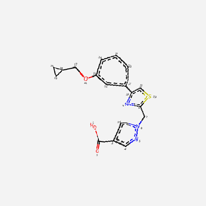 O=C(O)c1cnn(Cc2nc(-c3cccc(OCC4CC4)c3)cs2)c1